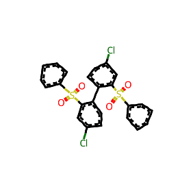 O=S(=O)(c1ccccc1)c1cc(Cl)ccc1-c1ccc(Cl)cc1S(=O)(=O)c1ccccc1